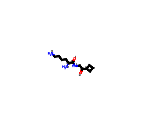 NCCCC[C@H](N)C(=O)N[CH]C(=O)C1CCC1